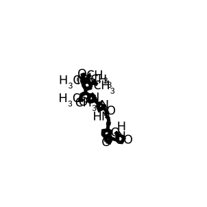 CC(C)c1cc(C2=CC(C)(C)Oc3cc(-c4ccc(C(=O)NCC#Cc5ccc6occ(C7CCC(=O)NC7=O)c6c5)nc4)ncc32)cc2c1n(C)c(=O)n2C